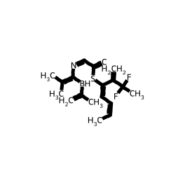 C=C(C)BC(/N=C\C(=C)S/C(=C/C=C\C)C(=C)C(C)(F)F)=C(C)C